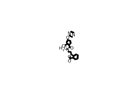 CN(CCC1OC(=O)c2ccccc21)C(=O)c1ccc(Oc2cnccn2)cc1Cl